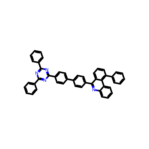 c1ccc(-c2nc(-c3ccccc3)nc(-c3ccc(-c4ccc(-c5nc6ccccc6c6c(-c7ccccc7)cccc56)cc4)cc3)n2)cc1